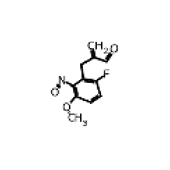 C=C(C=O)Cc1c(F)ccc(OC)c1N=O